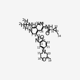 [2H]C([2H])([2H])Nc1ncc(-c2nc3cc(N4CCO[C@H](C)C4)ccc3o2)c2cc(NC(=O)[C@H]3C[C@H]3C)ncc12